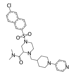 CN(C)C(=O)C1CN(S(=O)(=O)c2ccc3cc(Cl)ccc3c2)CCN1CC1CCN(c2ccncc2)CC1